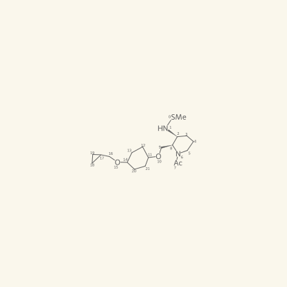 CSN[C@H]1CCCN(C(C)=O)[C@H]1COC1CCC(OCC2CC2)CC1